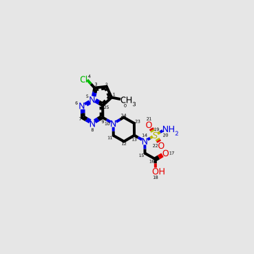 Cc1cc(Cl)n2ncnc(N3CCC(N(CC(=O)O)S(N)(=O)=O)CC3)c12